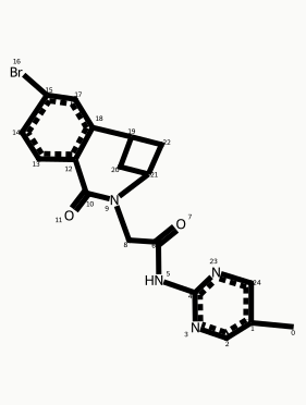 Cc1cnc(NC(=O)CN2C(=O)c3ccc(Br)cc3C3CC2C3)nc1